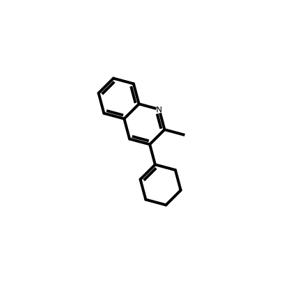 Cc1nc2ccccc2cc1C1=CCCCC1